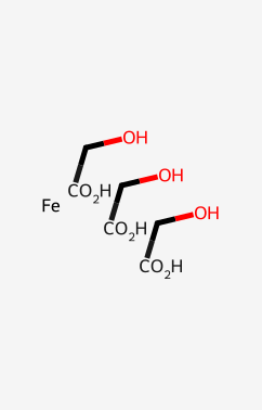 O=C(O)CO.O=C(O)CO.O=C(O)CO.[Fe]